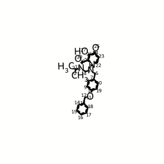 CC(C)N1CN(Cc2ccc(OCc3ccccc3)cc2)n2ccc(=O)c(O)c2C1=O